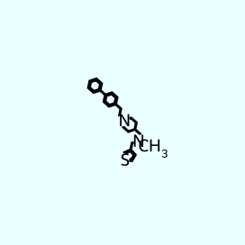 CN(Cc1ccsc1)CC1CCN(CCc2ccc(-c3ccccc3)cc2)CC1